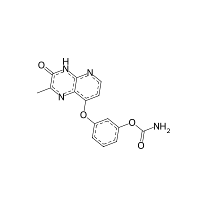 Cc1nc2c(Oc3cccc(OC(N)=O)c3)ccnc2[nH]c1=O